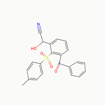 Cc1ccc(S(=O)(=O)c2c(C(=O)c3ccccc3)cccc2C(O)C#N)cc1